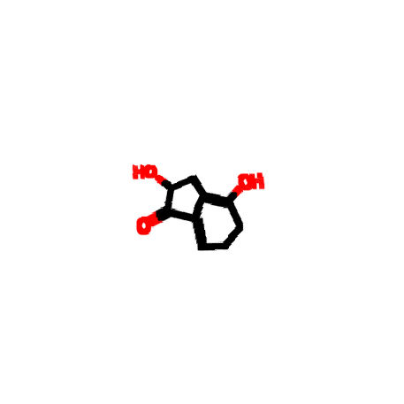 O=C1C2=CCCC(O)=C2CC1O